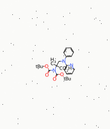 CC(C)(C)OC(=O)N(C(=O)OC(C)(C)C)C(C)(CN(c1ccccc1)c1ccccn1)C(=O)O